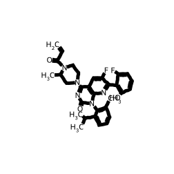 C=CC(=O)N1CCN(c2nc(=O)n(-c3c(C)cccc3C(C)C)c3nc(-c4c(O)cccc4F)c(F)cc23)CC1C